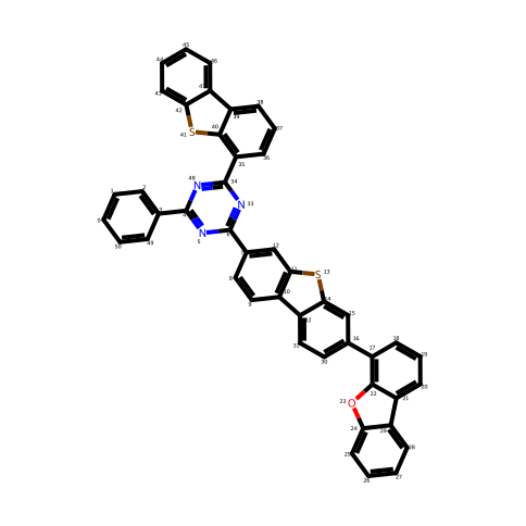 c1ccc(-c2nc(-c3ccc4c(c3)sc3cc(-c5cccc6c5oc5ccccc56)ccc34)nc(-c3cccc4c3sc3ccccc34)n2)cc1